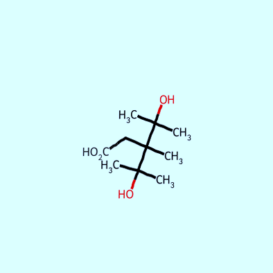 CC(C)(O)C(C)(CC(=O)O)C(C)(C)O